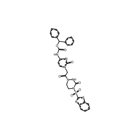 O=C(Nc1ccn(CC(=O)N2CCN(S(=O)(=O)c3nc4ccccc4s3)C(=O)N2)c(=O)n1)OC(c1ccccc1)c1ccccc1